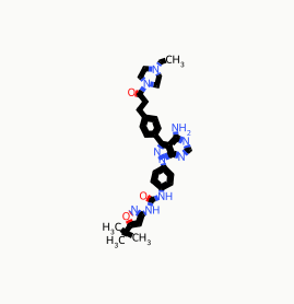 CCN1CCN(C(=O)CCc2ccc(-c3nn(-c4ccc(NC(=O)Nc5cc(C(C)(C)C)on5)cc4)c4ncnc(N)c34)cc2)CC1